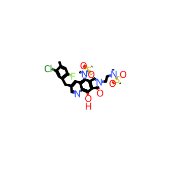 Cc1cc(F)c(Cc2cnc3c(O)c4c(c(N(C)S(C)(=O)=O)c3c2)CN(CCN(C)S(C)(=O)=O)C4=O)cc1Cl